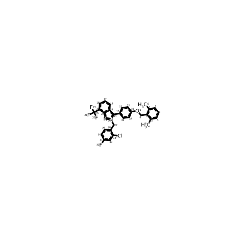 Cc1cccc(C)c1COc1ccc(-c2c3cccc(C(F)(F)F)c3nn2Cc2ccc(F)cc2Cl)cc1